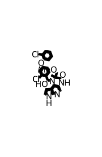 COCC1(C)C(=O)Nc2cnc3[nH]ccc3c2N1C(O)c1ccc(Oc2ccccc2Cl)cc1Cl